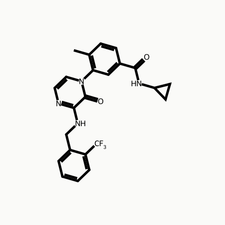 Cc1ccc(C(=O)NC2CC2)cc1-n1ccnc(NCc2ccccc2C(F)(F)F)c1=O